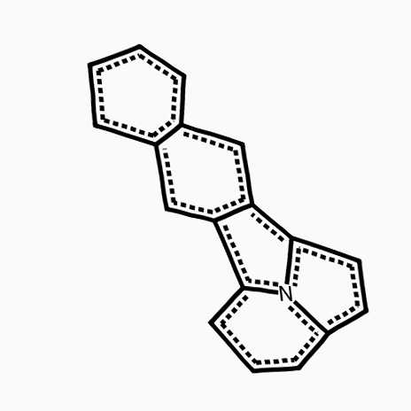 c1ccc2cc3c(cc2c1)c1cccc2ccc3n21